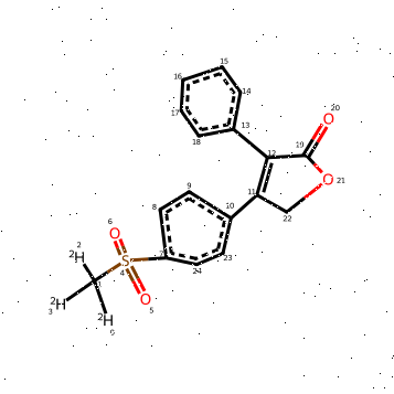 [2H]C([2H])([2H])S(=O)(=O)c1ccc(C2=C(c3ccccc3)C(=O)OC2)cc1